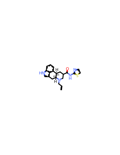 C=CCN1CC(C(=O)Nc2nccs2)C[C@@H]2c3cccc4[nH]cc(c34)C[C@H]21